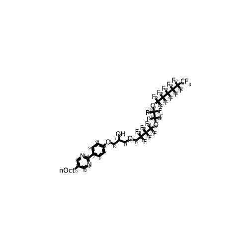 CCCCCCCCc1cnc(-c2ccc(OCC(O)COCC(F)(F)C(F)(F)C(F)(F)OC(F)(F)C(F)(F)OC(F)(F)C(F)(F)C(F)(F)C(F)(F)C(F)(F)C(F)(F)F)cc2)nc1